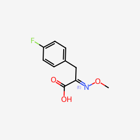 CO/N=C(\Cc1ccc(F)cc1)C(=O)O